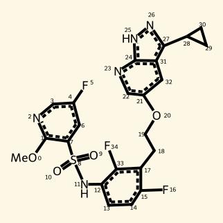 COc1ncc(F)cc1S(=O)(=O)Nc1ccc(F)c(CCOc2cnc3[nH]nc(C4CC4)c3c2)c1F